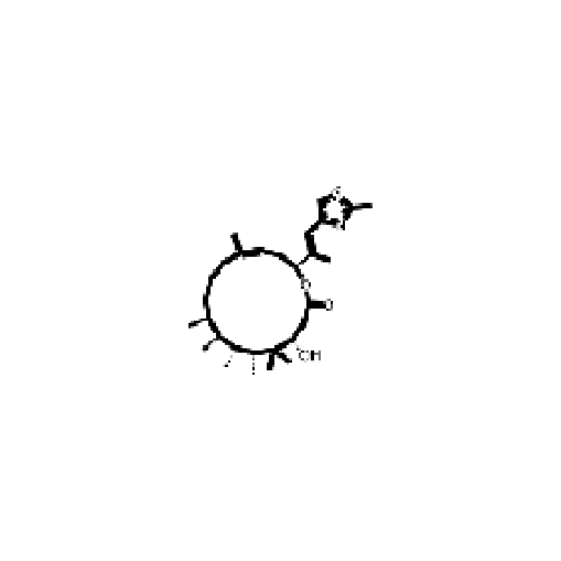 C/C1=C/C[C@@H](/C(C)=C/c2csc(C)n2)OC(=O)C[C@H](O)C(C)(C)[C@H](C)[C@H](C)[C@@H](C)[C@@H](C)CCC1